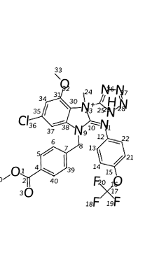 COC(=O)c1ccc(CN2C(=Nc3ccc(OC(F)(F)F)cc3)[N+](C)(c3nnn[nH]3)c3c(OC)cc(Cl)cc32)cc1